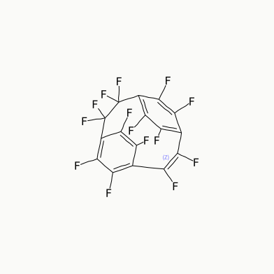 F/C1=C(\F)c2c(F)c(F)c(c(F)c2F)C(F)(F)C(F)(F)c2c(F)c(F)c1c(F)c2F